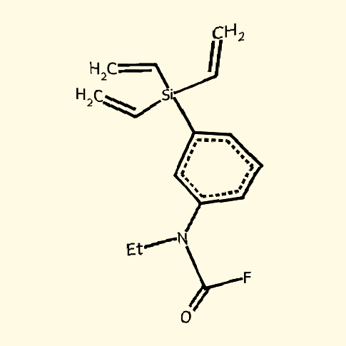 C=C[Si](C=C)(C=C)c1cccc(N(CC)C(=O)F)c1